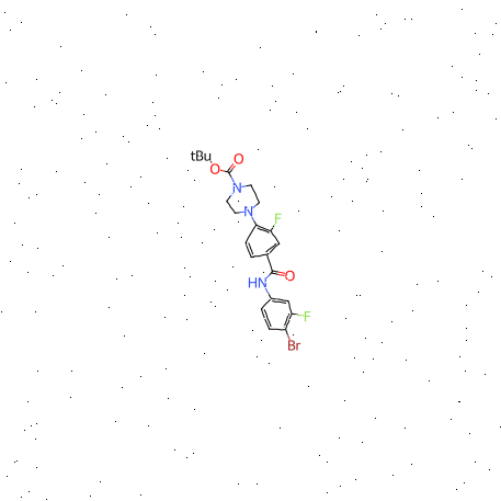 CC(C)(C)OC(=O)N1CCN(c2ccc(C(=O)Nc3ccc(Br)c(F)c3)cc2F)CC1